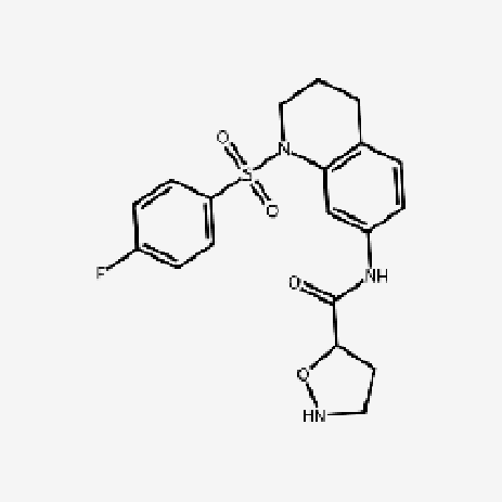 O=C(Nc1ccc2c(c1)N(S(=O)(=O)c1ccc(F)cc1)CCC2)C1CCNO1